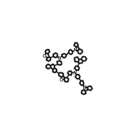 c1cc(-c2cc3ccccc3c3ccc(-c4ccc5c(c4)oc4cccc(-c6cccc(N(c7ccc(-c8ccc(-n9c%10ccccc%10c%10ccccc%109)cc8)cc7)c7ccc(-c8cc9ccccc9c9ccccc89)cc7)c6)c45)cc23)cc(N(c2ccc(-c3ccc(-n4c5ccccc5c5ccccc54)cc3)cc2)c2cccc(-c3cccc4oc5ccccc5c34)c2)c1